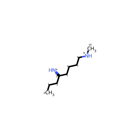 CCCC(=N)CCCCNC